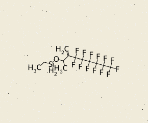 C=C(C(C)O[SiH2]CC)C(F)(F)C(F)(F)C(F)(F)C(F)(F)C(F)(F)C(F)(F)F